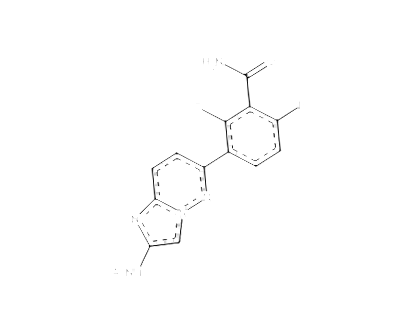 CC(=O)Nc1cn2nc(-c3ccc(F)c(C(N)=O)c3F)ccc2n1